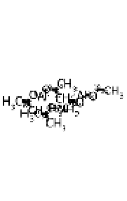 CC(C)[O][AlH2].CC(C)[O][Al][O]C(C)C.CC[O][Al][O]CC